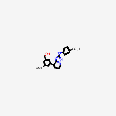 COc1cc(CO)cc(-c2cccn3nc(Nc4ccc(C(=O)O)cc4)nc23)c1